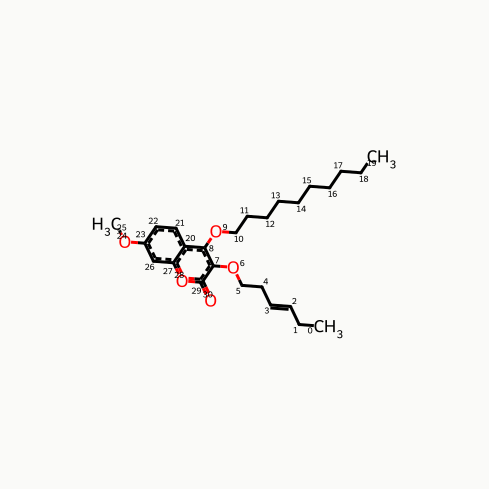 CCC=CCCOc1c(OCCCCCCCCCC)c2ccc(OC)cc2oc1=O